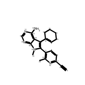 C#Cc1ccc(-c2c(C3=CCCCC3)c3c(N)ncnc3n2C)c(C)n1